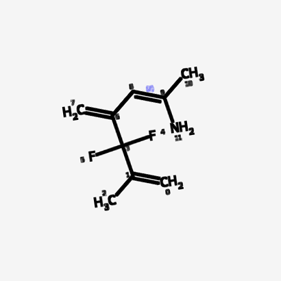 C=C(C)C(F)(F)C(=C)/C=C(/C)N